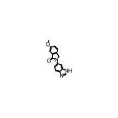 COc1ccc2c(c1)C(=O)N(c1ccc3nc[nH]c3c1)C2